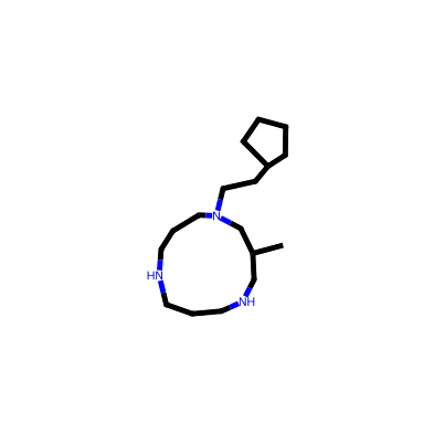 CC1CNCCCNCCCN(CCC2CCCC2)C1